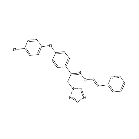 Clc1ccc(Oc2ccc(C(Cn3cncn3)=NOC=Cc3ccccc3)cc2)cc1